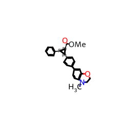 COC(=O)[C@@H]1[C@H](c2ccccc2)[C@H]1c1ccc(-c2ccc3c(c2)OCCN3C)cc1